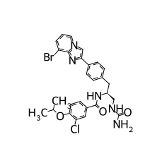 CC(C)Oc1ccc(C(=O)N[C@H](CNC(N)=O)Cc2ccc(-c3cn4cccc(Br)c4n3)cc2)cc1Cl